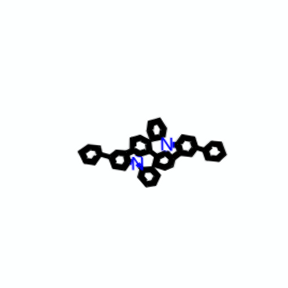 c1ccc(-c2ccc3c(c2)c2cccc(-c4cccc5c6cc(-c7ccccc7)ccc6n(-c6ccccc6)c45)c2n3-c2ccccc2)cc1